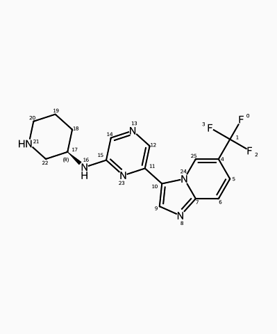 FC(F)(F)c1ccc2ncc(-c3cncc(N[C@@H]4CCCNC4)n3)n2c1